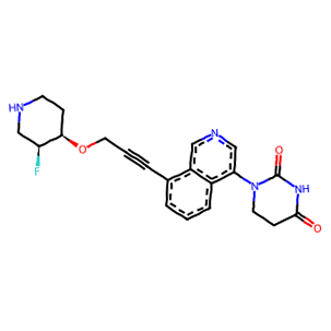 O=C1CCN(c2cncc3c(C#CCO[C@@H]4CCNC[C@@H]4F)cccc23)C(=O)N1